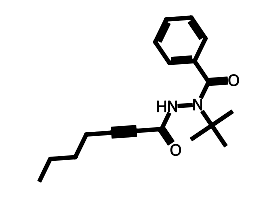 CCCCC#CC(=O)NN(C(=O)c1ccccc1)C(C)(C)C